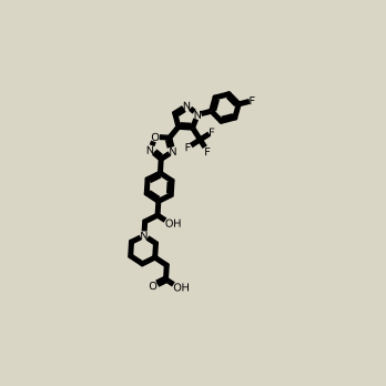 O=C(O)CC1CCCN(CC(O)c2ccc(-c3noc(-c4cnn(-c5ccc(F)cc5)c4C(F)(F)F)n3)cc2)C1